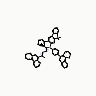 C#C/C(=C\C=C(/C)c1cc2ccccc2c2ccccc12)N(c1ccc(-c2cc3ccccc3c3ccccc23)cc1)c1cc2c(cc1-c1ccccc1)-c1ccccc1C2(C)C